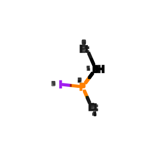 CCBP(I)CC